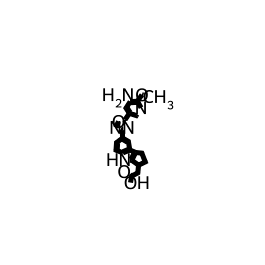 COc1ncc(-c2nc(-c3ccc4[nH]c5c(c4c3)CCC5CC(=O)O)no2)cc1N